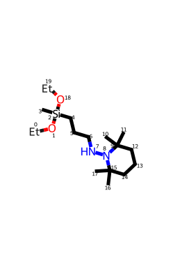 CCO[Si](C)(CCCNN1C(C)(C)CCCC1(C)C)OCC